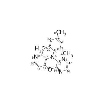 Cc1cc(C)c(N2c3cnccc3Oc3nccnc32)c(C)c1